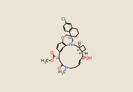 COC(=O)[C@H]1CC(=O)N(C)CC/C=C/[C@H](O)[C@@H]2CC[C@H]2CN2C[C@@]3(CCCc4cc(Cl)ccc43)COc3ccc1cc32